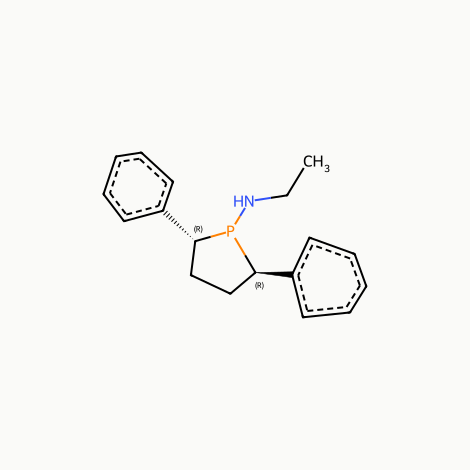 CCNP1[C@@H](c2ccccc2)CC[C@@H]1c1ccccc1